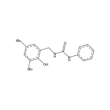 CC(C)(C)c1cc(CNC(=O)Nc2ccccc2)c(O)c(C(C)(C)C)c1